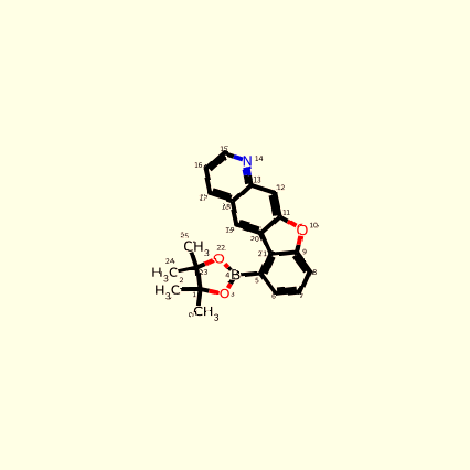 CC1(C)OB(c2cccc3oc4cc5ncccc5cc4c23)OC1(C)C